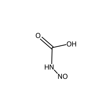 O=NNC(=O)O